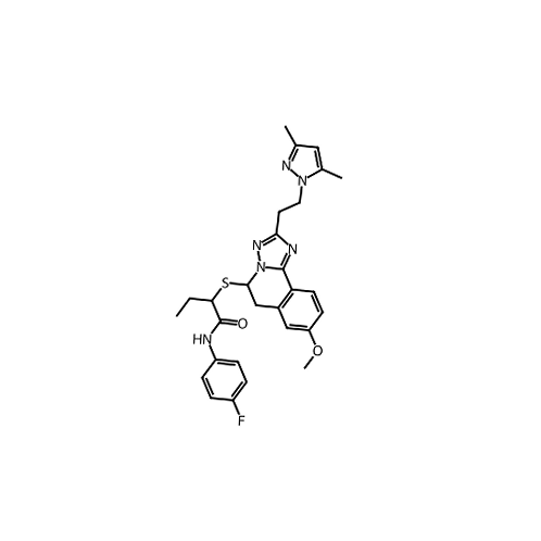 CCC(SC1Cc2cc(OC)ccc2-c2nc(CCn3nc(C)cc3C)nn21)C(=O)Nc1ccc(F)cc1